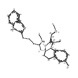 CNC(CCCc1nc2ccccc2[nH]1)C[C@@]1(OC(=O)COC)CCc2cc(F)ccc2[C@@H]1C(C)C